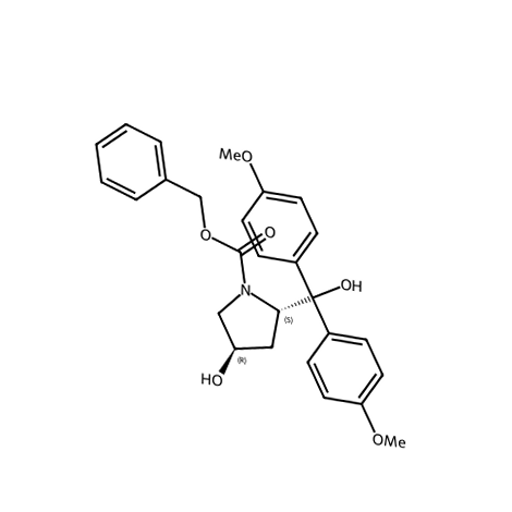 COc1ccc(C(O)(c2ccc(OC)cc2)[C@@H]2C[C@@H](O)CN2C(=O)OCc2ccccc2)cc1